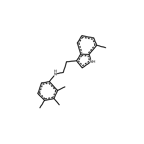 Cc1ccc(NCCc2c[nH]c3c(C)cccc23)c(C)c1C